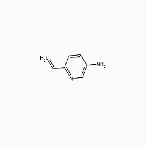 C=Cc1ccc(N)cn1